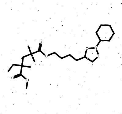 CCC(C)(CC(C)(C)C(=O)OCCCCC1COB(C2CCCCC2)O1)C(=O)OC